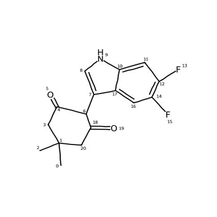 CC1(C)CC(=O)C(c2c[nH]c3cc(F)c(F)cc23)C(=O)C1